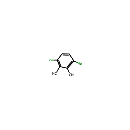 N#Cc1c(Br)ccc(Br)c1C#N